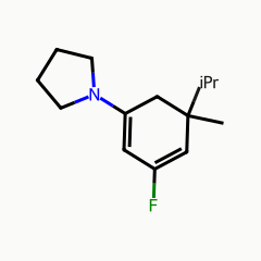 CC(C)C1(C)C=C(F)C=C(N2CCCC2)C1